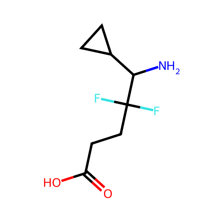 NC(C1CC1)C(F)(F)CCC(=O)O